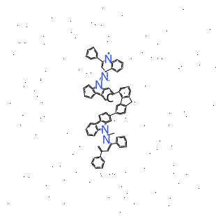 C=N/C(=C\C(=N/Cn1c2ccccc2c2ccc(-c3cccc4c3-c3cc(-c5ccc6c7ccccc7n(/C(C)=N/C(=C\C(=C)c7ccccc7)c7ccccc7)c6c5)ccc3C4)cc21)c1ccccc1)c1ccccc1